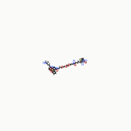 CNCCCCNC(=O)c1ccc(C(=O)NCCCOCCOCCOCCCNC(=O)CCCC[C@@H]2SC[C@@H]3NC(=O)N[C@@H]32)cc1P(=O)(c1ccccc1)c1ccccc1